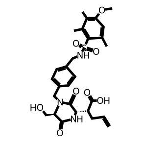 C=CCC(C(=O)O)[C@@H]1NC(=O)[C@@H](CO)N(Cc2ccc(CNS(=O)(=O)c3c(C)cc(OC)c(C)c3C)cc2)C1=O